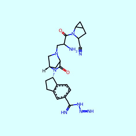 N#CC1CC2CC2N1C(=O)C(N)CN1C[C@@H]2CC1C(=O)N2[C@H]1CCc2cc(C(=N)NN=N)ccc21